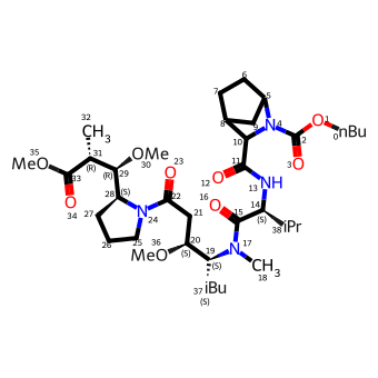 CCCCOC(=O)N1C2CCC(C2)C1C(=O)N[C@H](C(=O)N(C)[C@H]([C@H](CC(=O)N1CCC[C@H]1[C@H](OC)[C@@H](C)C(=O)OC)OC)[C@@H](C)CC)C(C)C